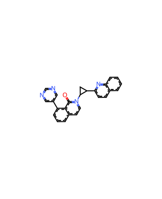 O=c1c2c(-c3cncnc3)cccc2ccn1C1CC1c1ccc2ccccc2n1